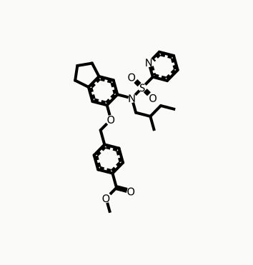 CCC(C)CN(c1cc2c(cc1OCc1ccc(C(=O)OC)cc1)CCC2)S(=O)(=O)c1ccccn1